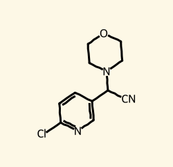 N#CC(c1ccc(Cl)nc1)N1CCOCC1